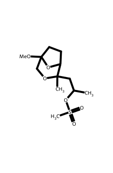 COC12CCC(O1)C(C)(CC(C)OS(C)(=O)=O)OC2